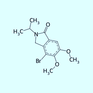 COc1cc2c(c(Br)c1OC)CN(C(C)C)C2=O